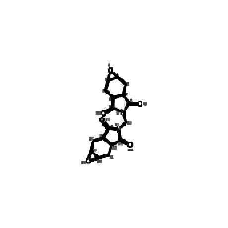 O=C1C2CC3OC3CC2C(=O)N1CN1C(=O)C2CC3OC3CC2C1=O